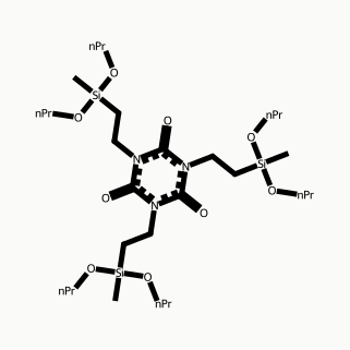 CCCO[Si](C)(CCn1c(=O)n(CC[Si](C)(OCCC)OCCC)c(=O)n(CC[Si](C)(OCCC)OCCC)c1=O)OCCC